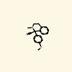 COc1ccc(C2(C#N)c3ccccc3CCN2C)cc1